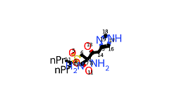 CCCC(CCC)S(=O)(=O)C[C@](N)(C(N)=O)C(=O)Cc1c[nH]cn1